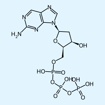 Nc1ncc2ncn([C@H]3C[C@@H](O)[C@@H](COP(=O)(O)OP(=O)(O)OP(=O)(O)O)O3)c2n1